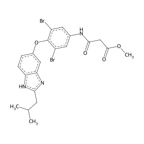 COC(=O)CC(=O)Nc1cc(Br)c(Oc2ccc3[nH]c(CC(C)C)nc3c2)c(Br)c1